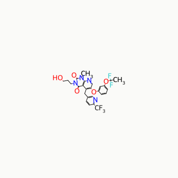 Cn1c(=O)n(CCCO)c(=O)c2c(Cc3ccc(C(F)(F)F)nc3)c(Oc3cccc(OC(C)(F)F)c3)cnc21